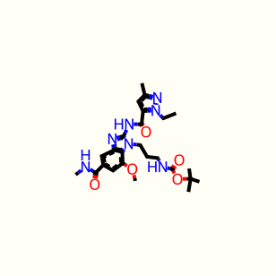 CCn1nc(C)cc1C(=O)Nc1nc2cc(C(=O)NC)cc(OC)c2n1CCCNC(=O)OC(C)(C)C